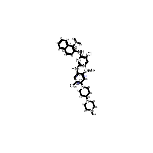 C\C=C(Nc1ncc(Cl)c(Nc2ccc3ccccc3c2P(C)C)n1)/C(=C\C(=C\Cl)N1CCC(N2CCN(C)CC2)CC1)OC